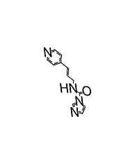 O=C(NCC=Cc1ccncc1)n1ccnc1